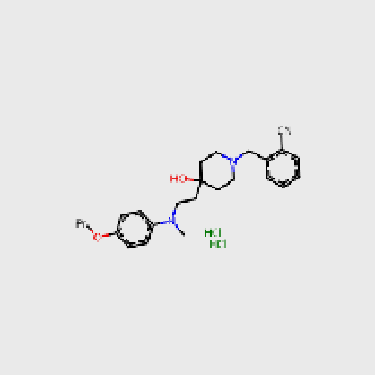 CC(C)Oc1ccc(N(C)CCC2(O)CCN(Cc3ccccc3C#N)CC2)cc1.Cl.Cl